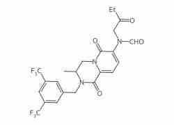 CCC(=O)CN(C=O)c1ccc2n(c1=O)CC(C)N(Cc1cc(C(F)(F)F)cc(C(F)(F)F)c1)C2=O